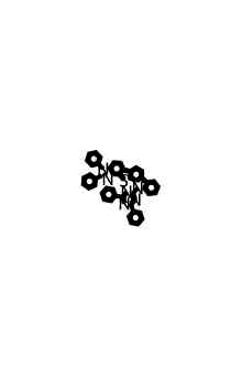 c1ccc(-c2nc(-c3ccccc3)nc(-n3c4ccccc4c4ccc5c6ccc7c(nc(-c8ccccc8)n7-c7ccccc7)c6sc5c43)n2)cc1